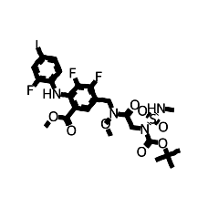 CNS(=O)(=O)N(CC(=O)N(Cc1cc(C(=O)OC)c(Nc2ccc(I)cc2F)c(F)c1F)OC)C(=O)OC(C)(C)C